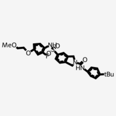 COCCOc1ccc(NS(=O)(=O)c2ccc3c(c2)CN(C(=O)Nc2ccc(C(C)(C)C)cc2)C3)c(F)c1